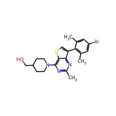 Cc1nc(N2CCC(CO)CC2)c2scc(-c3c(C)cc(Br)cc3C)c2n1